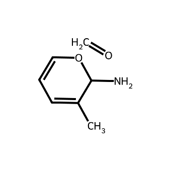 C=O.CC1=CC=COC1N